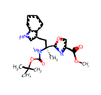 COC(=O)c1coc([C@](C)(Cc2c[nH]c3ccccc23)NC(=O)OC(C)(C)C)n1